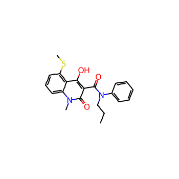 CCCN(C(=O)c1c(O)c2c(SC)cccc2n(C)c1=O)c1ccccc1